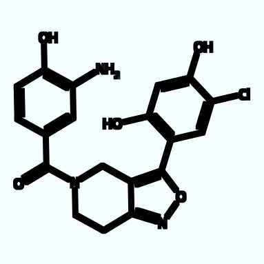 Nc1cc(C(=O)N2CCc3noc(-c4cc(Cl)c(O)cc4O)c3C2)ccc1O